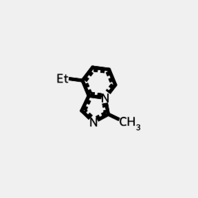 CCc1cccn2c(C)ncc12